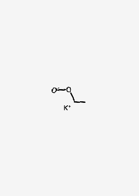 CCO[O-].[K+]